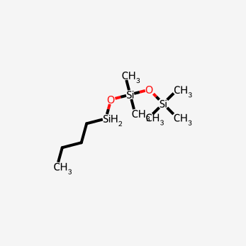 CCCC[SiH2]O[Si](C)(C)O[Si](C)(C)C